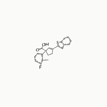 Cc1c(F)cccc1C1(C(=O)O)C=C(c2cc3ccccc3s2)CC1